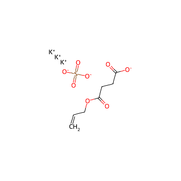 C=CCOC(=O)CCC(=O)[O-].O=S(=O)([O-])[O-].[K+].[K+].[K+]